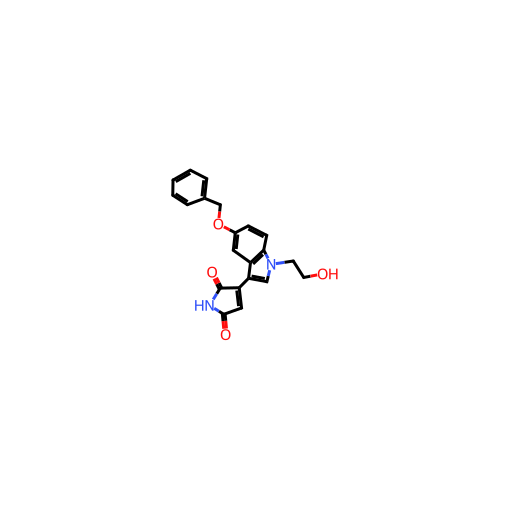 O=C1C=C(c2cn(CCO)c3ccc(OCc4ccccc4)cc23)C(=O)N1